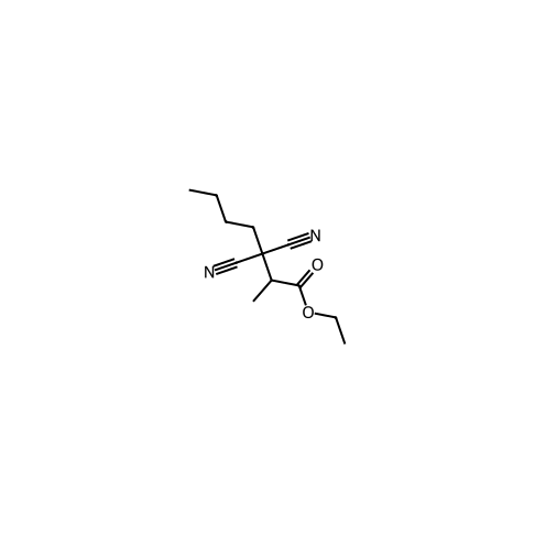 CCCCC(C#N)(C#N)C(C)C(=O)OCC